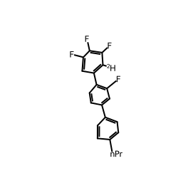 [2H]c1c(-c2ccc(-c3ccc(CCC)cc3)cc2F)cc(F)c(F)c1F